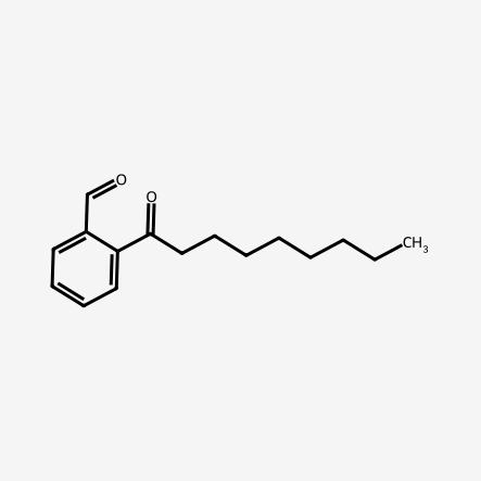 CCCCCCCCC(=O)c1ccccc1C=O